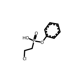 O=P(O)(CCCl)Oc1ccccc1